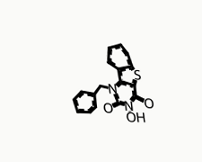 O=c1c2sc3ccccc3c2n(Cc2ccccc2)c(=O)n1O